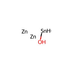 [OH][SnH].[Zn].[Zn]